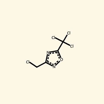 ClCc1noc(C(Cl)(Cl)Cl)n1